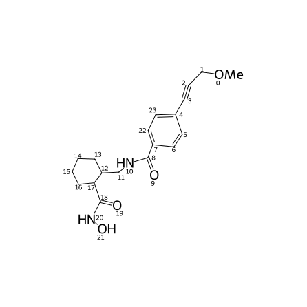 COCC#Cc1ccc(C(=O)NCC2CCCCC2C(=O)NO)cc1